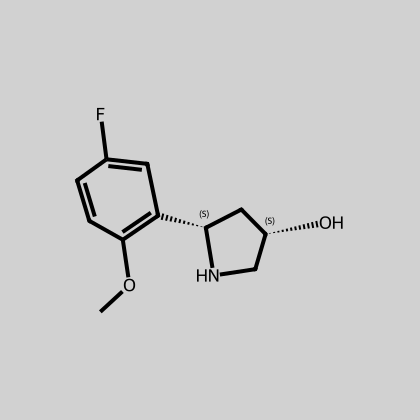 COc1ccc(F)cc1[C@@H]1C[C@H](O)CN1